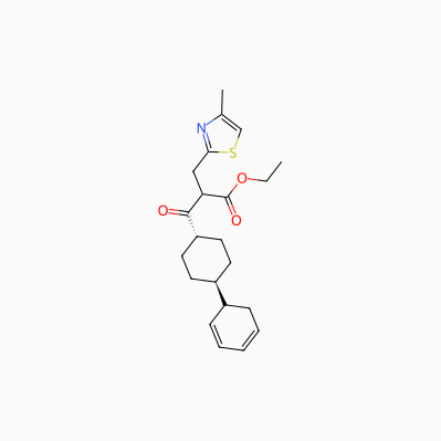 CCOC(=O)C(Cc1nc(C)cs1)C(=O)[C@H]1CC[C@H](C2C=CC=CC2)CC1